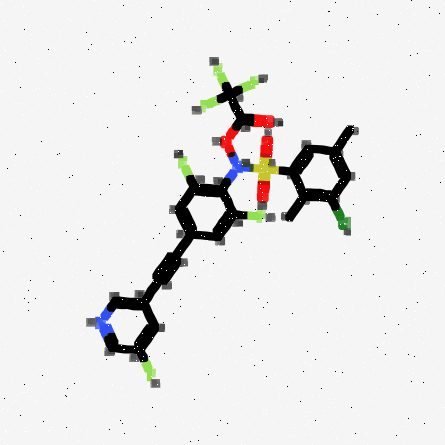 Cc1cc(Cl)c(C)c(S(=O)(=O)N(OC(=O)C(F)(F)F)c2c(F)cc(C#Cc3cncc(F)c3)cc2F)c1